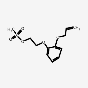 C=CCOc1ccccc1OCCOS(C)(=O)=O